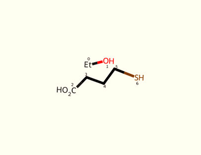 CCO.O=C(O)CCCS